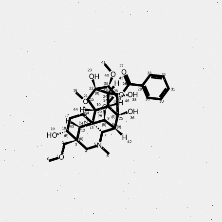 COC[C@]12CN(C)C3[C@@H]4[C@H](OC)[C@H]1[C@@]3([C@@H](OC)C[C@H]2O)[C@@H]1C[C@@]2(O)[C@H](OC(=O)c3ccccc3)[C@@H]1[C@]4(O)[C@@H](O)[C@@H]2OC